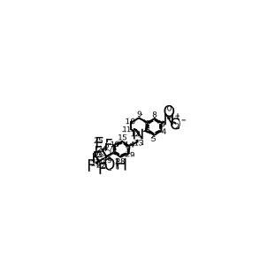 O=[N+]([O-])c1ccc2c(c1)CCCN2Cc1ccc(C(O)(C(F)(F)F)C(F)(F)F)cc1